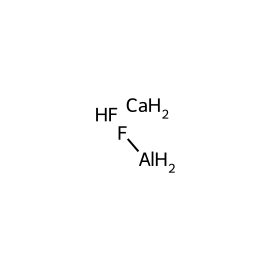 F.[CaH2].[F][AlH2]